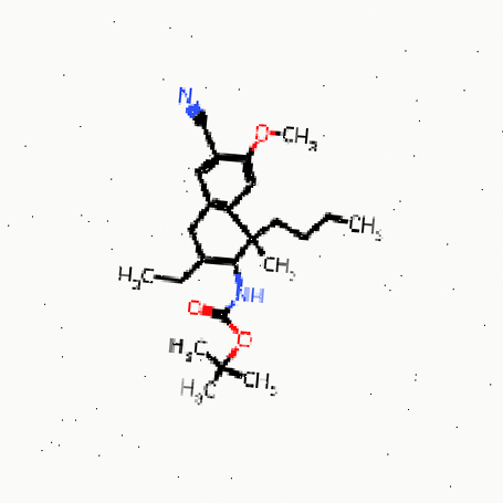 CCCCC1(C)c2cc(OC)c(C#N)cc2CC(CC)C1NC(=O)OC(C)(C)C